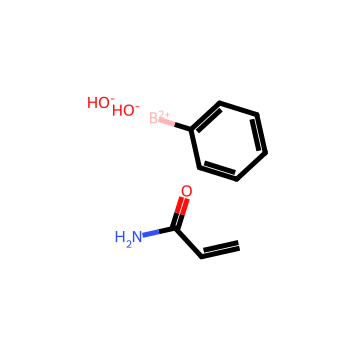 C=CC(N)=O.[B+2]c1ccccc1.[OH-].[OH-]